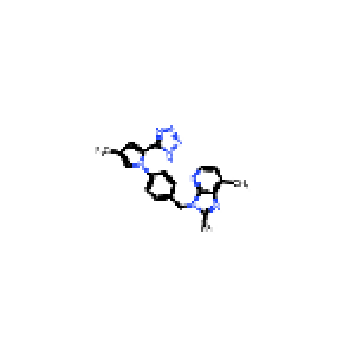 CCCc1nc2c(C)ccnc2n1Cc1ccc(-n2cc(C(F)(F)F)cc2-c2nnn[nH]2)cc1